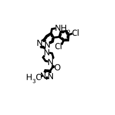 Cn1cnc(C(=O)N2CCN(c3cnc4cc(CN)c(-c5ccc(Cl)cc5Cl)cn34)CC2)c1